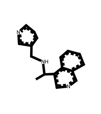 CC(NCc1cccnc1)c1cncc2ccccc12